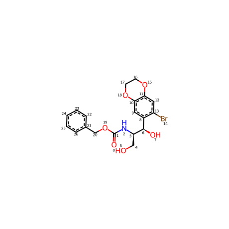 O=C(N[C@H](CO)[C@H](O)c1cc2c(cc1Br)OCCO2)OCc1ccccc1